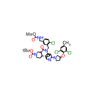 COC(=O)NCc1ccc(Cl)c(CN(C(=O)[C@@H]2CN(C(=O)OC(C)(C)C)CC[C@H]2c2ccc(N3CC[C@H](Oc4c(Cl)cc(C)cc4Cl)C3)nc2)C2CC2)c1